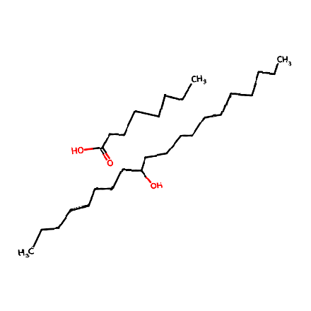 CCCCCCCC(=O)O.CCCCCCCCCCCC(O)CCCCCCCC